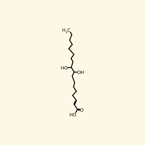 CCCCCCCCC(O)C(O)CCCCCC=CC(=O)O